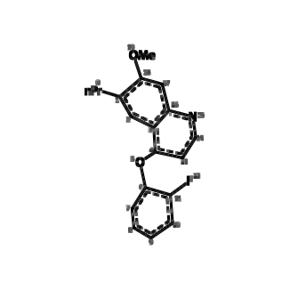 CCCc1cc2c(Oc3ccccc3F)ccnc2cc1OC